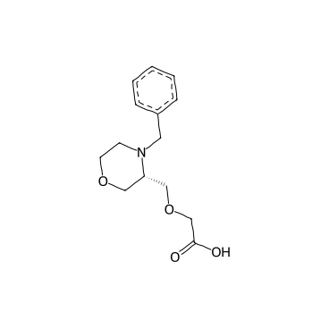 O=C(O)COC[C@@H]1COCCN1Cc1ccccc1